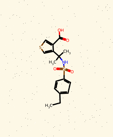 CCc1ccc(S(=O)(=O)NC(C)(C)c2cscc2C(=O)O)cc1